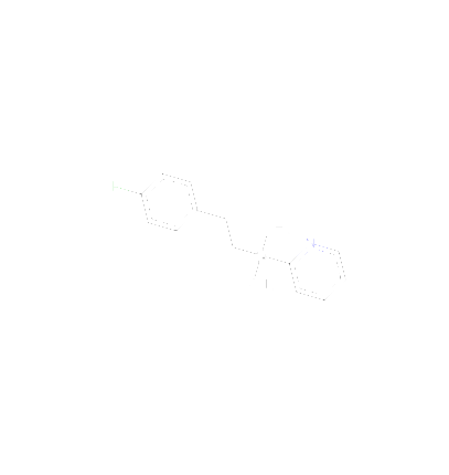 C[Si](C)(CCc1ccc(Cl)cc1)c1ccccn1